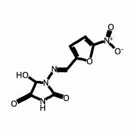 O=C1NC(=O)N(N=Cc2ccc([N+](=O)[O-])o2)C1O